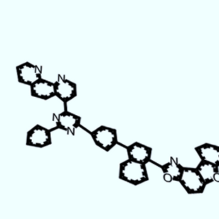 c1ccc(-c2nc(-c3ccc(-c4ccc(-c5nc6c(ccc7oc8ccccc8c76)o5)c5ccccc45)cc3)cc(-c3ccnc4c3ccc3cccnc34)n2)cc1